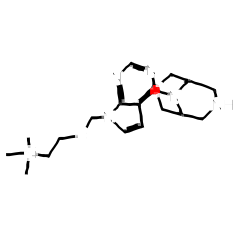 C[Si](C)(C)CCOCn1ccc2c(N3C4CNCC3COC4)ncnc21